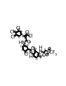 O=C(CS(=O)(=O)C(F)(F)F)Nc1c(F)ccc(NC(=O)c2cc(NC(=O)C3[C@H](c4cc(Cl)c(Cl)c(Cl)c4)C3(Cl)Cl)ccc2Cl)c1F